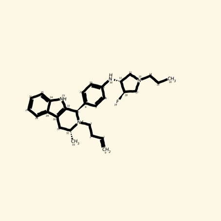 C=CCCN1[C@H](c2ccc(N[C@@H]3CN(CCC)C[C@H]3F)cc2)c2[nH]c3ccccc3c2C[C@H]1C